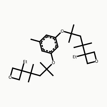 CCC1(C(C)(C)CC(C)(C)Oc2cc(C)cc(OC(C)(C)CC(C)(C)C3(CC)COC3)c2)COC1